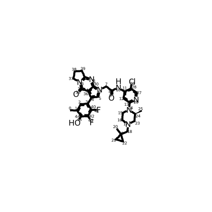 Cc1cc(-c2cn(CC(=O)Nc3cc(N4CCN(CC5(C)CC5)C[C@@H]4C)ncc3Cl)c3nc4n(c(=O)c23)CCC4)c(F)c(F)c1O